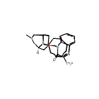 CN1CC2C[C@@H](n3c(=O)c(C(=O)O)nc4ccccc43)C[C@@H](C1)N2C1CCCCCCC1